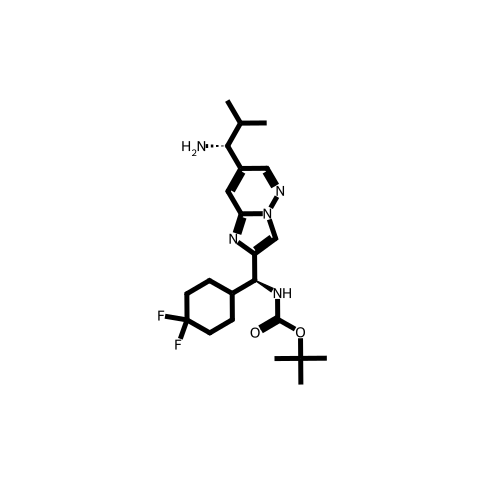 CC(C)[C@@H](N)c1cnn2cc([C@@H](NC(=O)OC(C)(C)C)C3CCC(F)(F)CC3)nc2c1